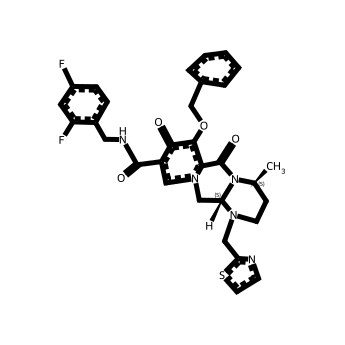 C[C@H]1CCN(Cc2nccs2)[C@@H]2Cn3cc(C(=O)NCc4ccc(F)cc4F)c(=O)c(OCc4ccccc4)c3C(=O)N12